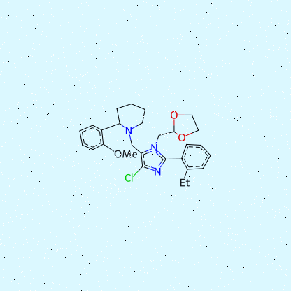 CCc1ccccc1-c1nc(Cl)c(CN2CCCCC2c2ccccc2OC)n1CC1OCCO1